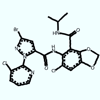 CC(C)NC(=O)c1c(NC(=O)c2cc(Br)nn2-c2ncccc2Cl)c(Cl)cc2c1OCO2